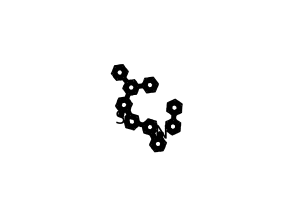 c1ccc(-c2cc(-c3ccccc3)cc(-c3ccc4sc5ccc(-c6ccc7c(c6)c6ccccc6n7-c6cccc(-c7ccccc7)c6)cc5c4c3)c2)cc1